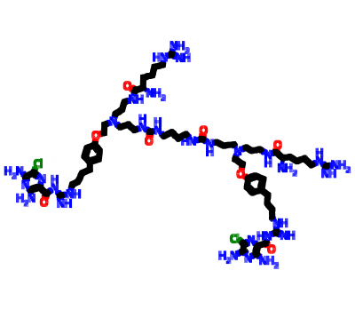 N=C(N)NCCCC[C@@H](N)C(=O)NCCCN(CCCNC(=O)NCCCCNC(=O)NCCCN(CCCNC(=O)[C@H](N)CCCCNC(=N)N)CCOc1ccc(CCCCNC(=N)NC(=O)c2nc(Cl)c(N)nc2N)cc1)CCOc1ccc(CCCCNC(=N)NC(=O)c2nc(Cl)c(N)nc2N)cc1